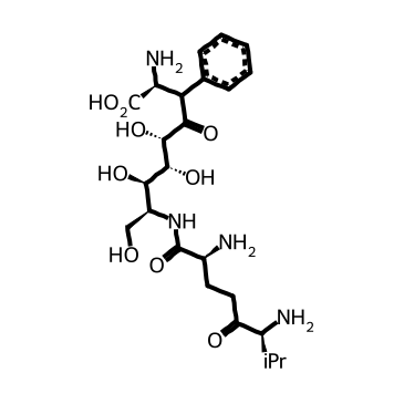 CC(C)[C@H](N)C(=O)CC[C@H](N)C(=O)N[C@@H](CO)[C@@H](O)[C@@H](O)[C@H](O)C(=O)C(c1ccccc1)[C@H](N)C(=O)O